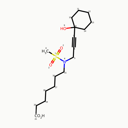 CS(=O)(=O)N(CC#CC1(O)CCCCC1)CCCCCCC(=O)O